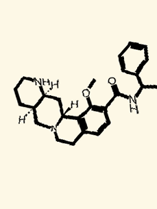 COc1c(C(=O)NC(C)c2ccccc2)ccc2c1[C@H]1C[C@@H]3NCCC[C@@H]3CN1CC2